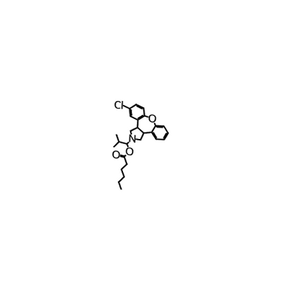 CCCCCC(=O)OC(C(C)C)N1CC2c3ccccc3Oc3ccc(Cl)cc3C2C1